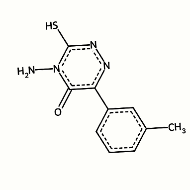 Cc1cccc(-c2nnc(S)n(N)c2=O)c1